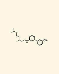 C=Cc1cccc(-c2cccc(OCCC(C)CCCC(C)C)c2)c1